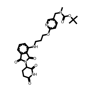 CN(Cc1ccc(OCCCNc2cccc3c2C(=O)N(C2CCC(=O)NC2=O)C3=O)nc1)C(=O)OC(C)(C)C